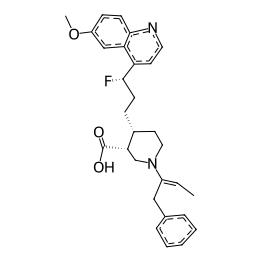 CC=C(Cc1ccccc1)N1CC[C@@H](CC[C@H](F)c2ccnc3ccc(OC)cc23)[C@@H](C(=O)O)C1